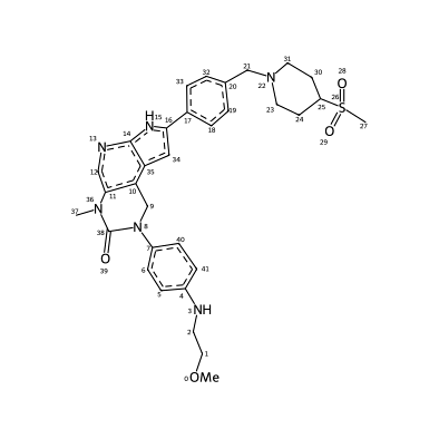 COCCNc1ccc(N2Cc3c(cnc4[nH]c(-c5ccc(CN6CCC(S(C)(=O)=O)CC6)cc5)cc34)N(C)C2=O)cc1